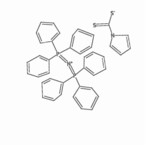 S=C([S-])n1cccc1.c1ccc(P(=[N+]=P(c2ccccc2)(c2ccccc2)c2ccccc2)(c2ccccc2)c2ccccc2)cc1